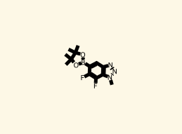 Cn1nnc2cc(B3OC(C)(C)C(C)(C)O3)c(F)c(F)c21